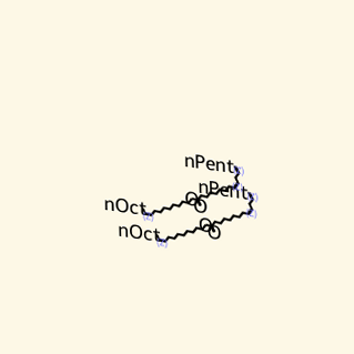 CCCCC/C=C\C/C=C\CCCCCCCC(=O)OCCCCCCCC/C=C\CCCCCCCC.CCCCC/C=C\C/C=C\CCCCCCCC(=O)OCCCCCCCC/C=C\CCCCCCCC